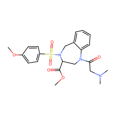 COC(=O)C1CN(C(=O)CN(C)C)c2ccccc2CN1S(=O)(=O)c1ccc(OC)cc1